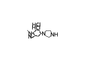 Cl.Cl.Cn1ncc2cc(N3CCNCC3)ccc21